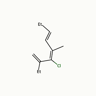 C=C(CC)/C(Cl)=C(C)\C=C\CC